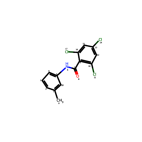 Cc1cccc(NC(=O)c2c(Cl)cc(Cl)cc2Cl)c1